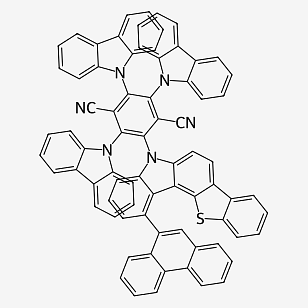 N#Cc1c(-n2c3ccccc3c3ccccc32)c(-n2c3ccccc3c3ccccc32)c(C#N)c(-n2c3cccc(-c4cc5ccccc5c5ccccc45)c3c3c4sc5ccccc5c4ccc32)c1-n1c2ccccc2c2ccccc21